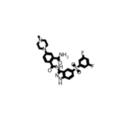 CN1CCN(c2ccc(C(=O)Nc3n[nH]c4ccc(S(=O)(=O)c5cc(F)cc(F)c5)cc34)c(C(N)=O)c2)CC1